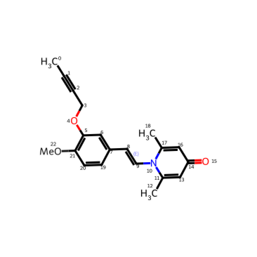 CC#CCOc1cc(/C=C/n2c(C)cc(=O)cc2C)ccc1OC